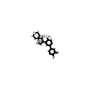 Cc1ccc(-c2ccc(F)c(F)c2)cc1/C(C=O)=C(\O)C1(N)CCOCC1